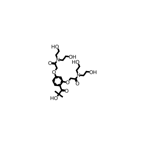 CC(C)(O)C(=O)c1ccc(OCC(=O)N(CCO)CCO)cc1OCC(=O)N(CCO)CCO